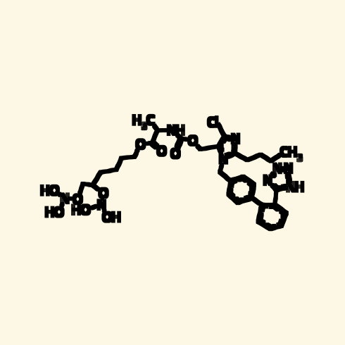 CCCCc1nc(Cl)c(COC(=O)NC(C)C(=O)OCCCCC(CON(O)O)ON(O)O)n1Cc1ccc(-c2ccccc2-c2nnn[nH]2)cc1